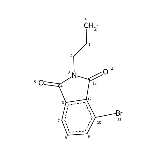 [CH2]CCN1C(=O)c2cccc(Br)c2C1=O